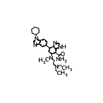 CCN(CC)CCN(C)c1cc(-c2ccc3c(c2)ncn3C2CCCCC2)c2nc[nH]c2c1C(N)=O